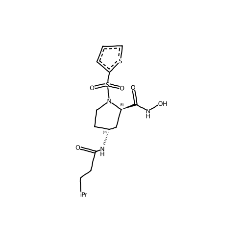 CC(C)CCC(=O)N[C@@H]1CCN(S(=O)(=O)c2cccs2)[C@@H](C(=O)NO)C1